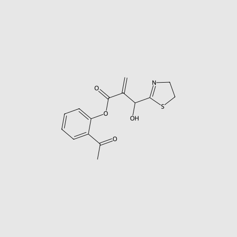 C=C(C(=O)Oc1ccccc1C(C)=O)C(O)C1=NCCS1